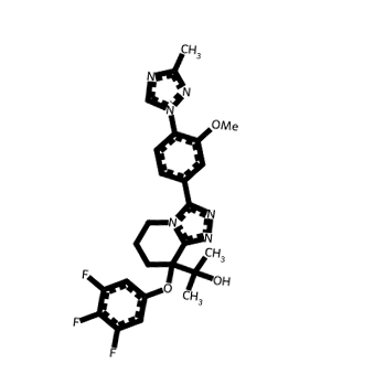 COc1cc(-c2nnc3n2CCCC3(Oc2cc(F)c(F)c(F)c2)C(C)(C)O)ccc1-n1cnc(C)n1